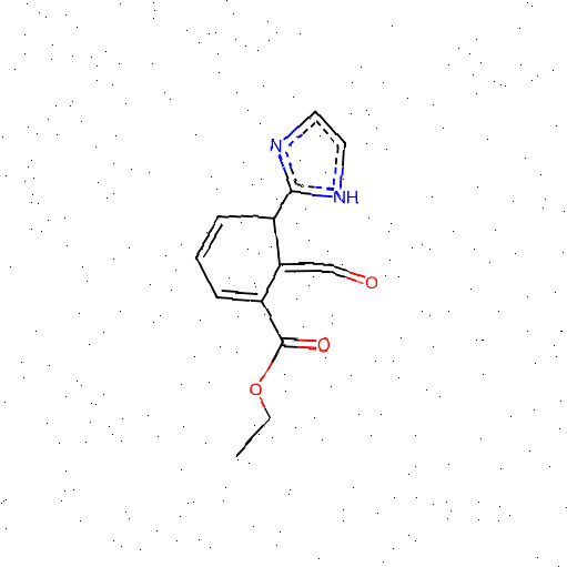 CCOC(=O)C1=CC=CC(c2ncc[nH]2)C1=C=O